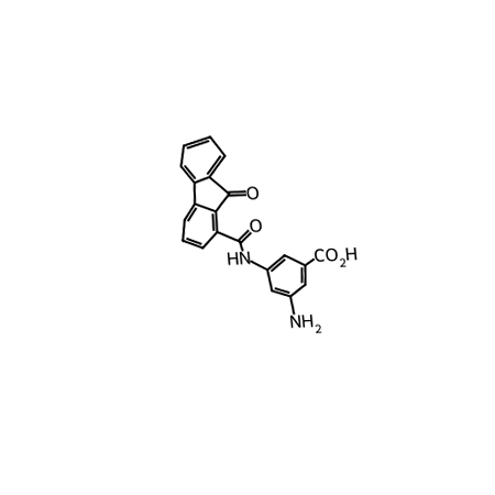 Nc1cc(NC(=O)c2cccc3c2C(=O)c2ccccc2-3)cc(C(=O)O)c1